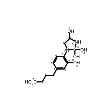 O=C(O)CCCc1ccc(N2CC(O)NS2(O)O)c(O)c1